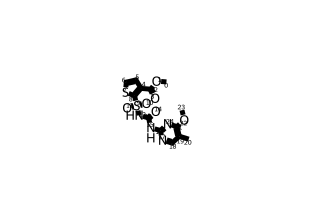 COC(=O)c1ccsc1S(=O)(=O)NC(=O)Nc1ncc(C)c(OC)n1